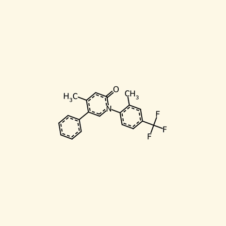 Cc1cc(=O)n(-c2ccc(C(F)(F)F)cc2C)cc1-c1ccccc1